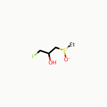 CC[S+]([O-])CC(O)CF